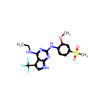 CCNc1nc(Nc2ccc(S(C)(=O)=O)cc2OC)nc2[nH]cc(C(F)(F)F)c12